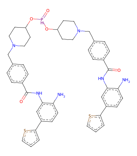 Nc1ccc(-c2cccs2)cc1NC(=O)c1ccc(CN2CCC(O[PH](=O)OC3CCN(Cc4ccc(C(=O)Nc5cc(-c6cccs6)ccc5N)cc4)CC3)CC2)cc1